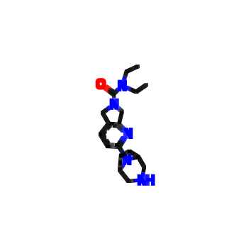 CCN(CC)C(=O)N1Cc2ccc(N3C4CCC3CNC4)nc2C1